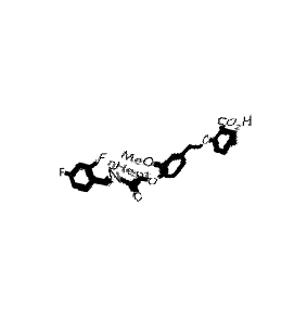 CCCCCCCN(Cc1ccc(F)cc1F)C(=O)COc1ccc(CCOc2ccccc2C(=O)O)cc1OC